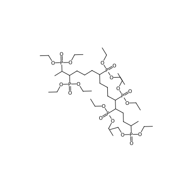 CCOP(=O)(OCC)C(C)CCC(C(CCCC(CCCC(C(C)P(=O)(OCC)OCC)P(=O)(OCC)OCC)P(=O)(OCC)OCC)P(=O)(OCC)OCC)P(=O)(OCC)OCC